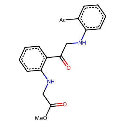 COC(=O)CNc1ccccc1C(=O)CNc1ccccc1C(C)=O